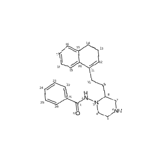 O=C(NN1CCNCC1CCC1=CCCc2ccccc21)c1ccccc1